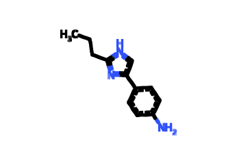 CCCc1nc(-c2ccc(N)cc2)c[nH]1